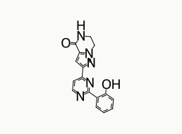 O=C1NCCn2nc(-c3ccnc(-c4ccccc4O)n3)cc21